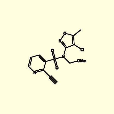 C#Cc1ncccc1S(=O)(=O)N(COC)c1noc(C)c1Cl